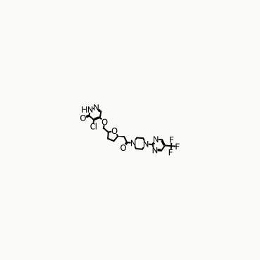 O=C(C[C@H]1CCC(COc2cn[nH]c(=O)c2Cl)O1)N1CCN(c2ncc(C(F)(F)F)cn2)CC1